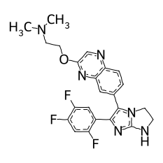 CN(C)CCOc1cnc2ccc(-c3c(-c4cc(F)c(F)cc4F)nc4n3CCN4)cc2n1